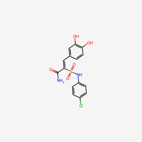 NC(=O)/C(=C/c1ccc(O)c(O)c1)S(=O)(=O)Nc1ccc(Cl)cc1